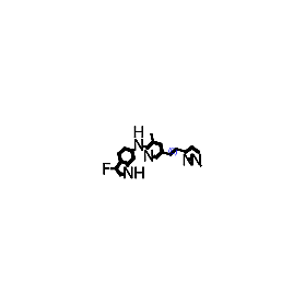 Cc1cc(/C=C/c2ccn(C)n2)cnc1Nc1ccc2c(F)c[nH]c2c1